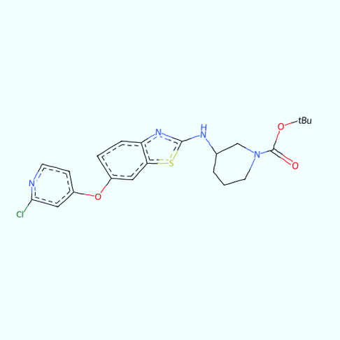 CC(C)(C)OC(=O)N1CCCC(Nc2nc3ccc(Oc4ccnc(Cl)c4)cc3s2)C1